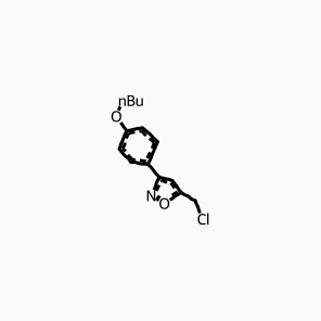 CCCCOc1ccc(-c2cc(CCl)on2)cc1